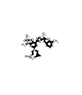 COCCN(CC1CC1C)c1cc(-c2nnc(C(C)(N)Cc3cccc(C)c3)o2)c(Cl)c(N(C)S(C)(=O)=O)n1